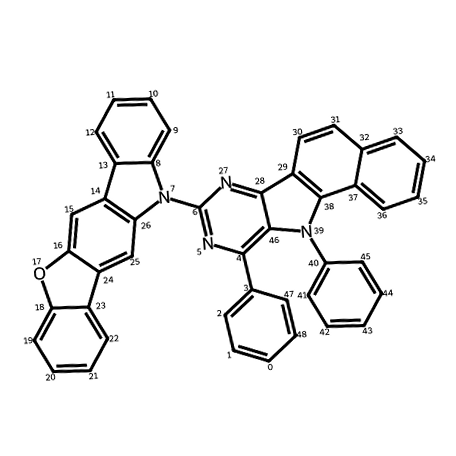 c1ccc(-c2nc(-n3c4ccccc4c4cc5oc6ccccc6c5cc43)nc3c4ccc5ccccc5c4n(-c4ccccc4)c23)cc1